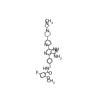 COc1ccc(F)cc1C(=O)NCc1ccc(-c2ncc(-c3ccc(C4CCN(C5CN(C)C5)CC4)cn3)c3[nH]nc(N)c23)cc1